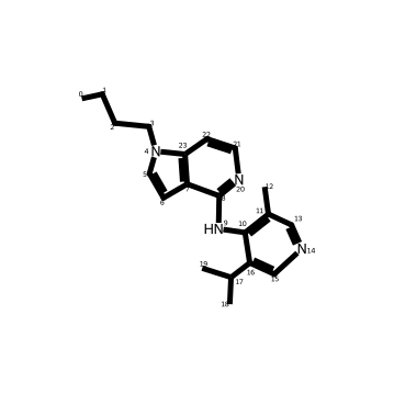 CCCCn1ccc2c(Nc3c(C)cncc3C(C)C)nccc21